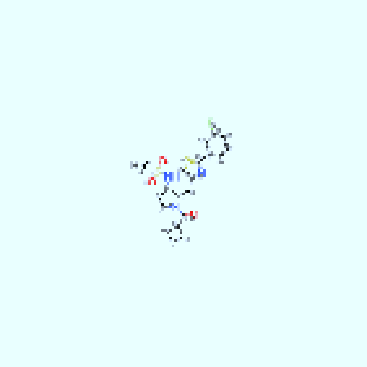 CS(=O)(=O)N[C@@H]1CCN(C(=O)C2CCC2)[C@@H]1Cc1csc(-c2cccc(F)c2)n1